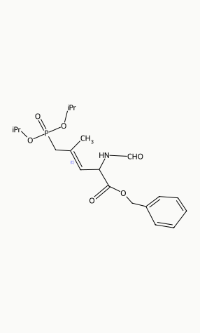 C/C(=C\C(NC=O)C(=O)OCc1ccccc1)CP(=O)(OC(C)C)OC(C)C